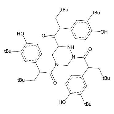 CC(C)(C)CC(C(=O)C1CN(C(=O)C(CC(C)(C)C)c2ccc(O)c(C(C)(C)C)c2)CN(C(=O)C(CC(C)(C)C)c2ccc(O)c(C(C)(C)C)c2)N1)c1ccc(O)c(C(C)(C)C)c1